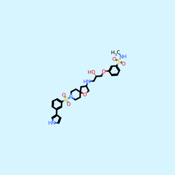 CNS(=O)(=O)c1cccc(OC[C@@H](O)CNC2COC3(CCN(S(=O)(=O)c4cccc(-c5cc[nH]c5)c4)CC3)C2)c1